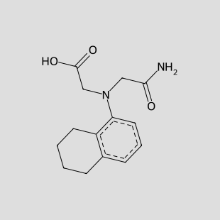 NC(=O)CN(CC(=O)O)c1cccc2c1CCCC2